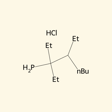 CCCCC(CC)C(P)(CC)CC.Cl